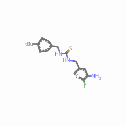 CC(C)(C)c1ccc(CNC(=S)NCc2ccc(F)c(N)c2)cc1